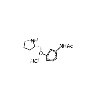 CC(=O)Nc1cccc(OC[C@@H]2CCCN2)c1.Cl